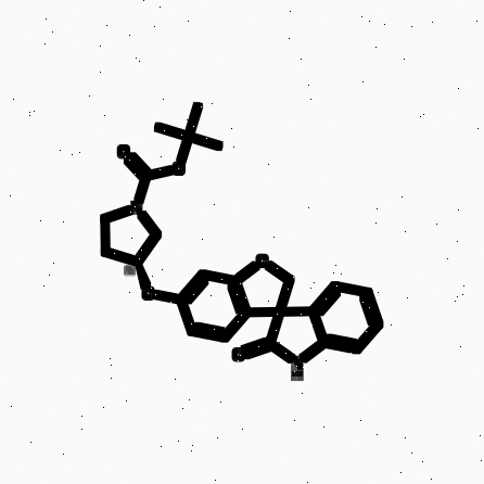 CC(C)(C)OC(=O)N1CC[C@H](Oc2ccc3c(c2)OCC32C(=O)Nc3ccccc32)C1